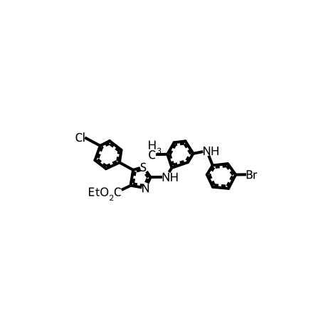 CCOC(=O)c1nc(Nc2cc(Nc3cccc(Br)c3)ccc2C)sc1-c1ccc(Cl)cc1